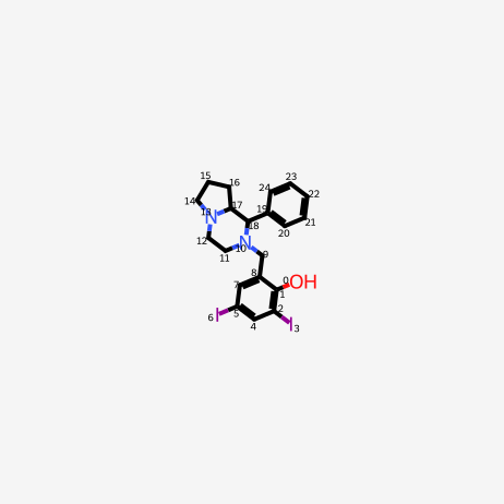 Oc1c(I)cc(I)cc1CN1CCN2CCCC2C1c1ccccc1